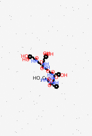 O=C(O)CNC(=O)CNC(=O)[C@H](Cc1ccccc1)NC(=O)CNC(=O)[C@H](Cc1ccc(O)cc1)NC(=O)CCOCCNC(=O)[C@H](CCCCNC(=O)CCc1ccc(O)c(O)c1)NC(=O)CCc1ccc(O)c(O)c1